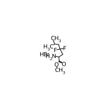 Br.COC(=O)C(N)CC(F)(F)CC(C)C